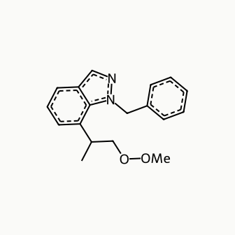 COOCC(C)c1cccc2cnn(Cc3ccccc3)c12